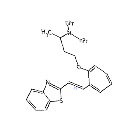 CCCN(CCC)C(C)CCOc1ccccc1/C=C/c1nc2ccccc2s1